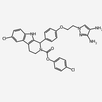 Nc1cn(CCOc2ccc(C3c4[nH]c5ccc(Cl)cc5c4CCN3C(=O)Oc3ccc(Cl)cc3)cc2)nc1N